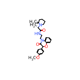 COc1ccc(C2Oc3ccccc3N(CCNC(=O)CN3CCCCC3(C)C)C2=O)cc1